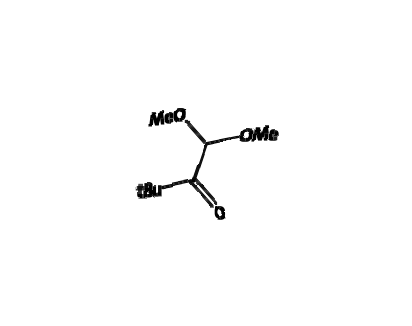 COC(OC)C(=O)C(C)(C)C